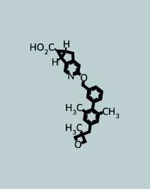 Cc1cc(CC2(C)COC2)cc(C)c1-c1cccc(COc2cc3c(cn2)[C@H]2[C@@H](C3)[C@@H]2C(=O)O)c1